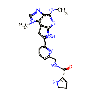 CNc1nc2[nH]c(-c3cccc(CNC(=O)[C@@H]4CCCN4)n3)cc2c2c1ncn2C